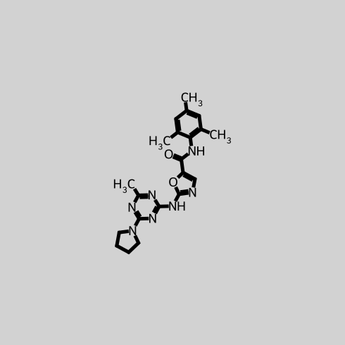 Cc1cc(C)c(NC(=O)c2cnc(Nc3nc(C)nc(N4CCCC4)n3)o2)c(C)c1